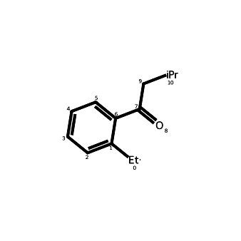 C[CH]c1ccccc1C(=O)CC(C)C